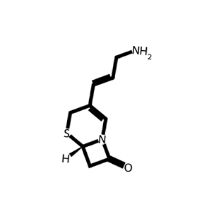 NCC=CC1=CN2C(=O)C[C@@H]2SC1